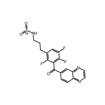 O=C(c1ccc2nccnc2c1)c1c(F)c(F)cc(CCCN[SH](=O)=O)c1F